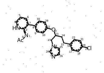 CC(=O)N=c1[nH]cccc1-c1ccc(OC(CCc2ccc(Cl)cc2)Cn2ccnc2)cc1